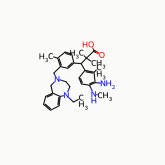 CCN1CCN(Cc2cc(C(c3ccc(NC)c(N)c3C)C(C)(C)C(=O)O)ccc2C)Cc2ccccc21